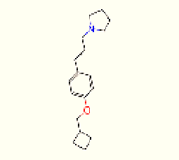 c1cc(OCC2CCC2)ccc1CCCN1CCCC1